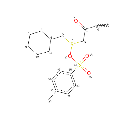 CCCCCC(=O)C[S+](CC1CCCCC1)OS(=O)(=O)c1ccc(C)cc1